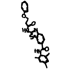 Cc1cc(C)c(NC(=O)c2ccc3nc(NC(=O)CCOc4ccccc4)sc3c2)c(C)c1